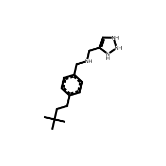 CC(C)(C)CCc1ccc(CNCC2=CNNN2)cc1